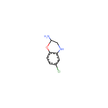 NC1CNc2cc(Cl)ccc2O1